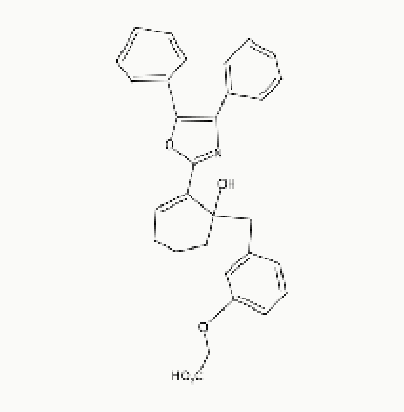 O=C(O)COc1cccc(CC2(O)CCCC=C2c2nc(-c3ccccc3)c(-c3ccccc3)o2)c1